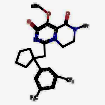 CCCCOc1c2n(c(CC3(c4cc(C(F)(F)F)cc(C(F)(F)F)c4)CCCC3)nc1=O)CCN(C(C)C)C2=O